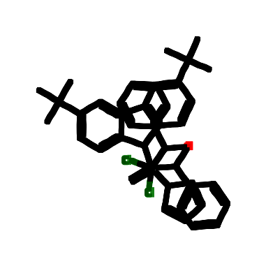 [CH2]=[Zr]([Cl])([Cl])([CH]1C=CC=C1)([CH](C)c1ccccc1)([CH](C)c1ccccc1)[CH]1c2ccc(C(C)(C)C)cc2-c2cc(C(C)(C)C)ccc21